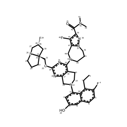 CCc1c(F)ccc2cc(O)cc(N3CCc4c(nc(OC[C@@]56CCCN5C[C@H](F)C6)nc4N4CCCn5nc(C(=O)N(C)C)c(F)c5C4)C3)c12